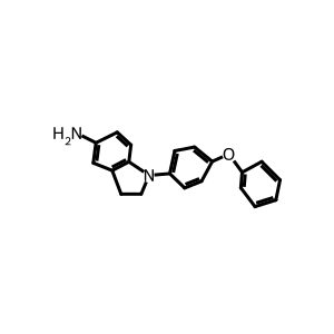 Nc1ccc2c(c1)CCN2c1ccc(Oc2ccccc2)cc1